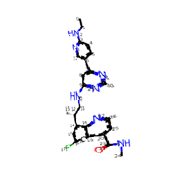 CCNc1ccc(-c2cc(NC[C@@H](C)c3cc(F)cc4c(C(=O)NC)ccnc34)ncn2)cn1